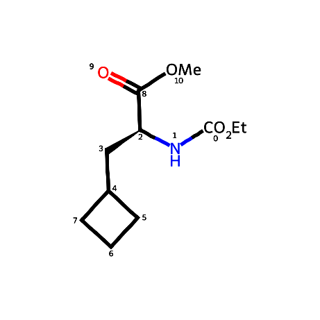 CCOC(=O)N[C@@H](CC1CCC1)C(=O)OC